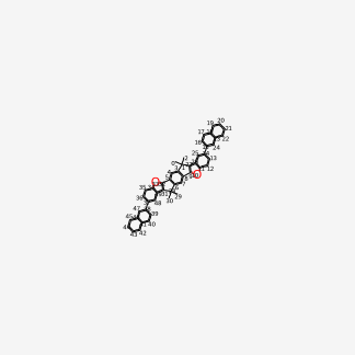 CC1(C)c2cc3c(cc2-c2oc4ccc(-c5ccc6ccccc6c5)cc4c21)C(C)(C)c1c-3oc2ccc(-c3ccc4ccccc4c3)cc12